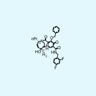 CCC[C@H]1C=C[C@](C)(O)[C@H]2CN1C(=O)c1c(OCc3ccccc3)c(=O)c(C(=O)NCc3ccc(F)cc3F)cn12